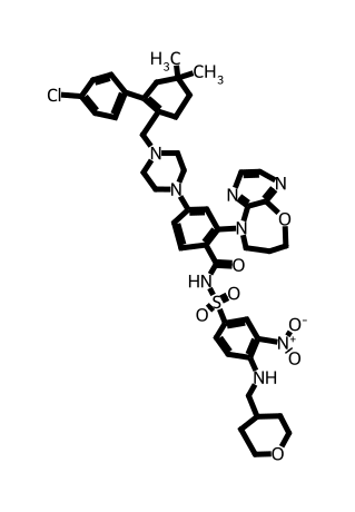 CC1(C)CCC(CN2CCN(c3ccc(C(=O)NS(=O)(=O)c4ccc(NCC5CCOCC5)c([N+](=O)[O-])c4)c(N4CCCOc5nccnc54)c3)CC2)=C(c2ccc(Cl)cc2)C1